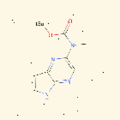 CN(C(=O)OC(C)(C)C)c1cnc2[nH]ccc2n1